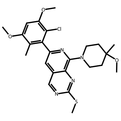 COc1cc(OC)c(Cl)c(-c2cc3cnc(SC)nc3c(N3CCC(C)(OC)CC3)n2)c1C